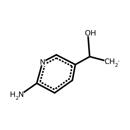 [CH2]C(O)c1ccc(N)nc1